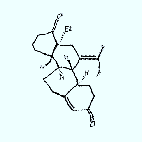 CC[C@]12CC(=C(F)F)[C@H]3[C@@H](CCC4=CC(=O)CC[C@@H]43)[C@@H]1CCC2=O